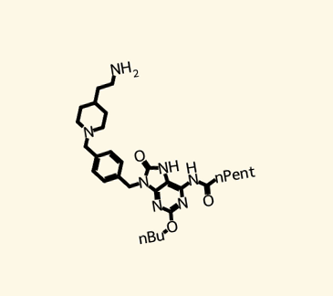 CCCCCC(=O)Nc1nc(OCCCC)nc2c1[nH]c(=O)n2Cc1ccc(CN2CCC(CCN)CC2)cc1